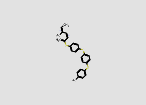 C=C(/C=C\C(=C/C)C(C)=O)Sc1ccc(Sc2ccc(Sc3ccc(C(C)=O)cc3)cc2)cc1